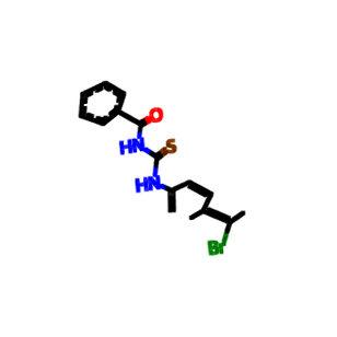 C=C(/C=C\C(C)=C(/C)Br)NC(=S)NC(=O)c1ccccc1